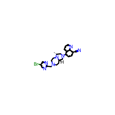 C[C@@H]1CN(c2ccc(C#N)c3ncccc23)C[C@@H]2CCN(Cc3ncc(Br)cn3)CCN21